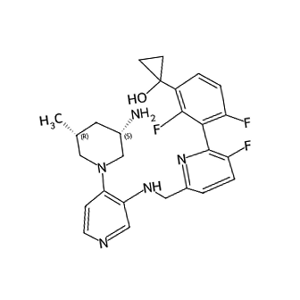 C[C@@H]1C[C@H](N)CN(c2ccncc2NCc2ccc(F)c(-c3c(F)ccc(C4(O)CC4)c3F)n2)C1